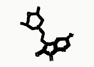 CC1CN(CCn2c(=O)[nH]c3ncc(Br)cc32)CC(C)O1